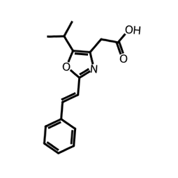 CC(C)c1oc(C=Cc2ccccc2)nc1CC(=O)O